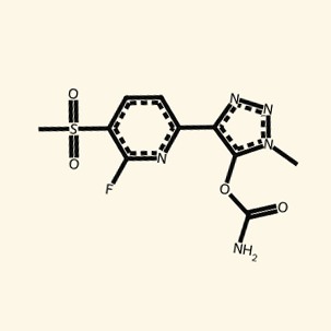 Cn1nnc(-c2ccc(S(C)(=O)=O)c(F)n2)c1OC(N)=O